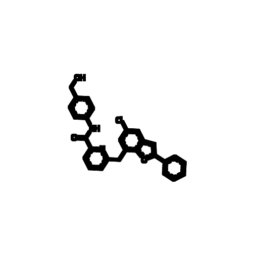 O=C(Nc1ccc(CO)cc1)c1cccc(Cc2cc(Cl)cc3cc(-c4ccccc4)oc23)n1